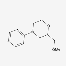 COCC1CN(c2cc[c]cc2)CCO1